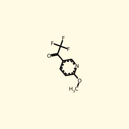 COc1ccc(C(=O)C(F)(F)F)cn1